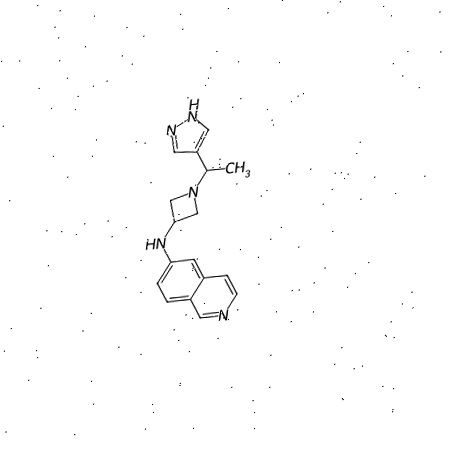 CC(c1cn[nH]c1)N1CC(Nc2ccc3cnccc3c2)C1